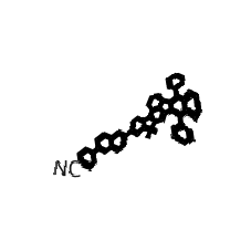 CC1(C)c2cc(-c3ccc4cc(-c5ccc(C#N)cc5)ccc4c3)ccc2-c2c1cc1c3c(cccc23)-c2c-1c(-c1ccccc1)c1ccccc1c2-c1ccccc1